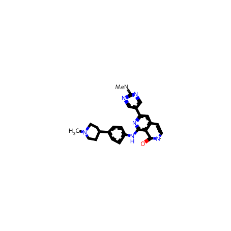 CNc1ncc(-c2cc3c(c(Nc4ccc(C5CCN(C)CC5)cc4)n2)C(=O)[N]C=C3)cn1